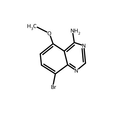 COc1ccc(Br)c2ncnc(N)c12